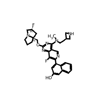 CN(CC1CNC1)c1nc(OC[C@@]23CCCN2C[C@H](F)C3)nc2c(F)c(-c3cc(O)cc4ccccc34)ncc12